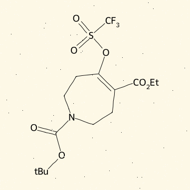 CCOC(=O)C1=C(OS(=O)(=O)C(F)(F)F)CCN(C(=O)OC(C)(C)C)CC1